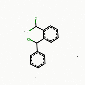 Cl[C](Cl)c1ccccc1C(Cl)c1ccccc1